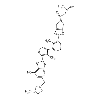 Cc1c(-c2nc3c(o2)CN(C(=O)CN(C)C(C)C)C3)cccc1-c1cccc(-c2nc3cc(CN4CC[C@H](C)C4)cc(C#N)c3o2)c1C